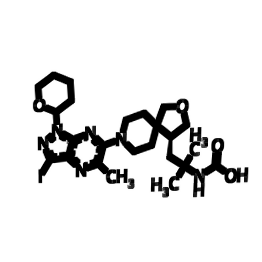 Cc1nc2c(I)nn(C3CCCCO3)c2nc1N1CCC2(CC1)COC[C@H]2CC(C)(C)NC(=O)O